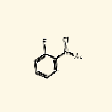 CC(=O)N(Cl)c1ccccc1F